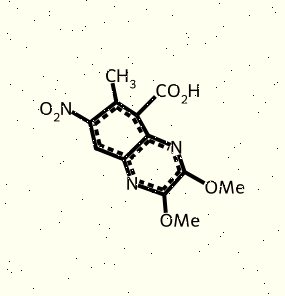 COc1nc2cc([N+](=O)[O-])c(C)c(C(=O)O)c2nc1OC